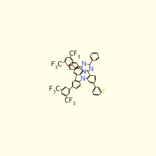 Fc1cccc(-c2ccc(-c3nc(-c4ccccc4)nc(-c4ccccc4)n3)c(-n3c4ccc(-c5cc(C(F)(F)F)cc(C(F)(F)F)c5)cc4c4cc(-c5cc(C(F)(F)F)cc(C(F)(F)F)c5)ccc43)c2)c1